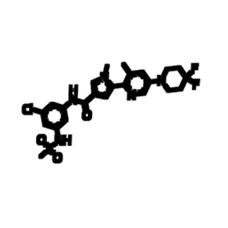 Cc1cc(N2CCC(F)(F)CC2)cnc1-c1cc(C(=O)Nc2cc(Cl)cc(NS(C)(=O)=O)c2)cn1C